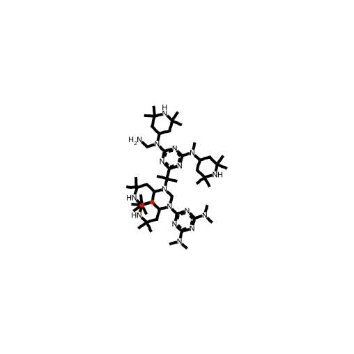 CN(C)c1nc(N(C)C)nc(N(CN(C2CC(C)(C)NC(C)(C)C2)C(C)(C)c2nc(N(C)C3CC(C)(C)NC(C)(C)C3)nc(N(CN)C3CC(C)(C)NC(C)(C)C3)n2)C2CC(C)(C)NC(C)(C)C2)n1